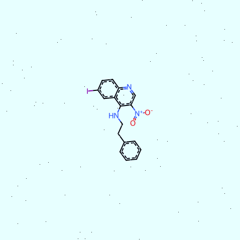 O=[N+]([O-])c1cnc2ccc(I)cc2c1NCCc1ccccc1